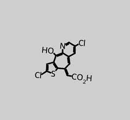 O=C(O)C=C1C=c2cc(Cl)cnc2=C(O)c2cc(Cl)sc21